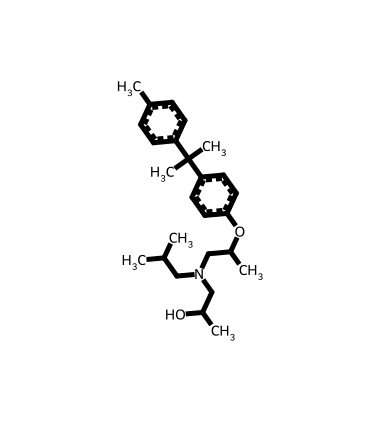 Cc1ccc(C(C)(C)c2ccc(OC(C)CN(CC(C)C)CC(C)O)cc2)cc1